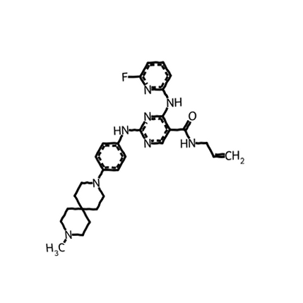 C=CCNC(=O)c1cnc(Nc2ccc(N3CCC4(CCN(C)CC4)CC3)cc2)nc1Nc1cccc(F)n1